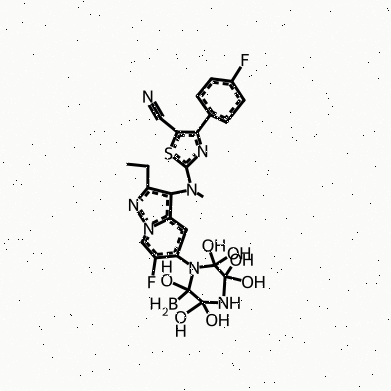 BC1(O)N(c2cc3c(N(C)c4nc(-c5ccc(F)cc5)c(C#N)s4)c(CC)nn3cc2F)C(O)(O)C(O)(O)NC1(O)O